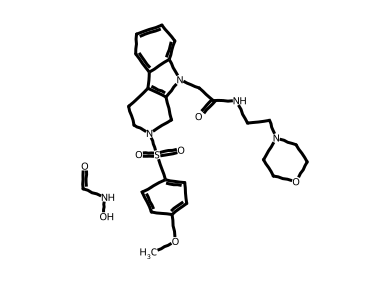 COc1ccc(S(=O)(=O)N2CCc3c(n(CC(=O)NCCN4CCOCC4)c4ccccc34)C2)cc1.O=CNO